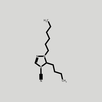 CCCCCCN1N=CN(C#N)C1CCCC